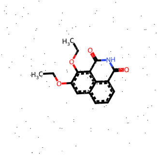 CCOc1cc2cccc3c2c(c1OCC)C(=O)NC3=O